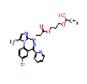 Cc1cnc2n1-c1ccc(Br)cc1C(c1ccccn1)=N[C@H]2CCC(=O)OCCCOC(C)O